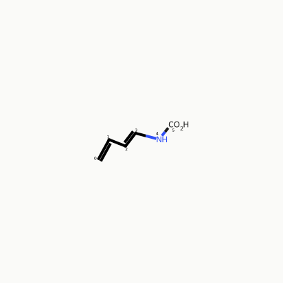 C=CC=CNC(=O)O